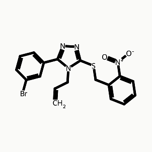 C=CCn1c(SCc2ccccc2[N+](=O)[O-])nnc1-c1cccc(Br)c1